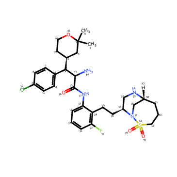 CC1(C)C[C@@H](C(c2ccc(Cl)cc2)C(N)C(=O)Nc2cccc(F)c2CC[C@H]2CN[C@@H]3CCCS(=O)(=O)N2C3)CCO1